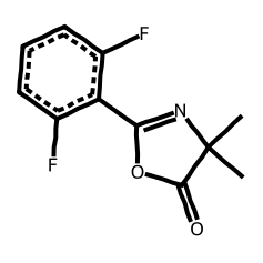 CC1(C)N=C(c2c(F)cccc2F)OC1=O